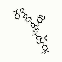 CC(C)c1ccccc1[C@@H]1CCCN1C1CC2(CCN(c3ccc(C(=O)NS(=O)(=O)c4cc([N+](=O)[O-])c5c(ccn5CC5CCC(C)(O)CC5)c4)c(Oc4cnc5[nH]ccc5c4)c3)CC2)C1